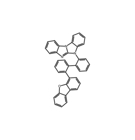 c1ccc(-c2cccc3c2oc2ccccc23)c(-c2ccccc2-n2c3ccccc3n3c4ccccc4nc23)c1